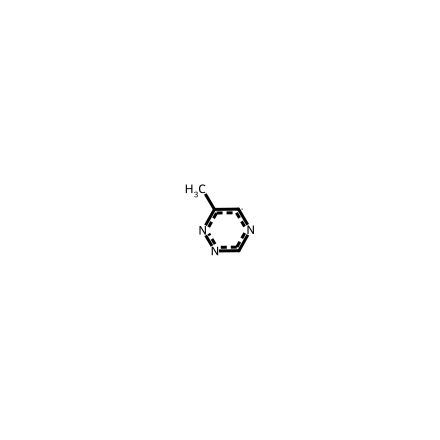 Cc1[c]ncnn1